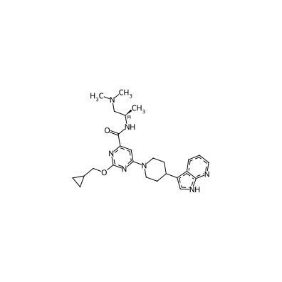 C[C@H](CN(C)C)NC(=O)c1cc(N2CCC(c3c[nH]c4ncccc34)CC2)nc(OCC2CC2)n1